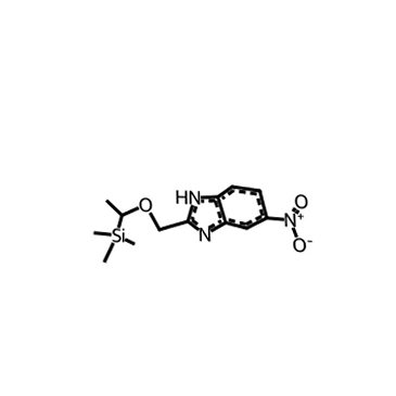 CC(OCc1nc2cc([N+](=O)[O-])ccc2[nH]1)[Si](C)(C)C